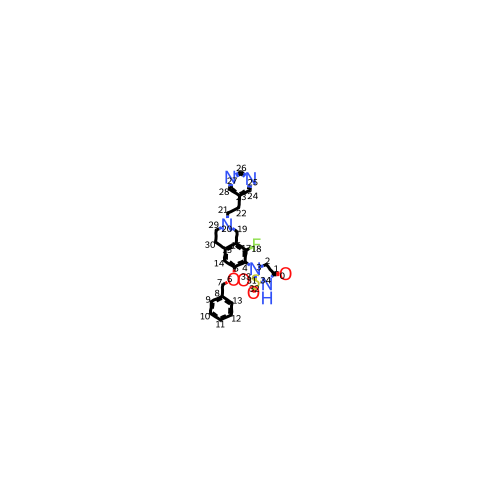 O=C1CN(c2c(OCc3ccccc3)cc3c(c2F)CN(CCc2cncnc2)CC3)S(=O)(=O)N1